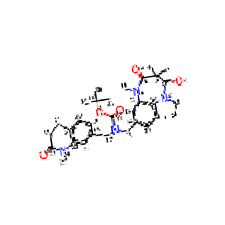 CCN1C(=O)C(C)(C)C(=O)N(C)c2cc(CN(Cc3ccc4c(c3)N(C)C(=O)CC4)C(=O)OC(C)(C)C)ccc21